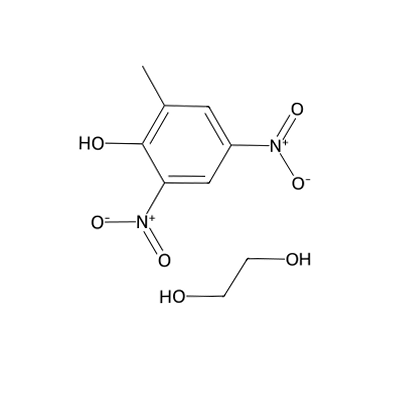 Cc1cc([N+](=O)[O-])cc([N+](=O)[O-])c1O.OCCO